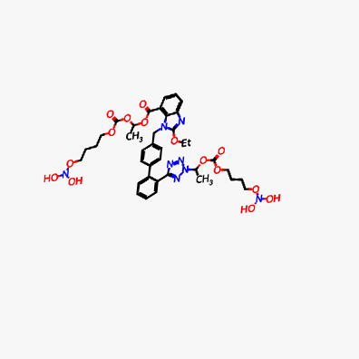 CCOc1nc2cccc(C(=O)OC(C)OC(=O)OCCCCON(O)O)c2n1Cc1ccc(-c2ccccc2-c2nnn(C(C)OC(=O)OCCCCON(O)O)n2)cc1